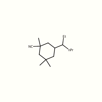 CCCC(CC)C1CC(C)(C)CC(C)(C#N)C1